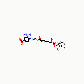 CC(C)(C)OC(=O)NCCCCCC(=O)NCCNC1=CC=C([N+](=O)[O-])C2=NONC12